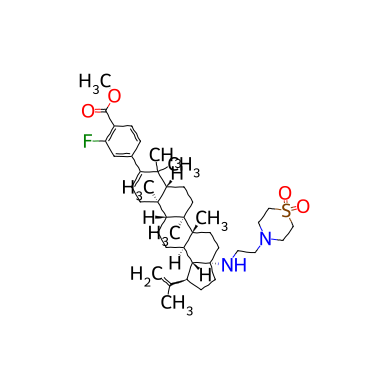 C=C(C)[C@@H]1CC[C@]2(NCCN3CCS(=O)(=O)CC3)CC[C@]3(C)[C@H](CC[C@@H]4[C@@]5(C)CC=C(c6ccc(C(=O)OC)c(F)c6)C(C)(C)[C@@H]5CC[C@]43C)[C@@H]12